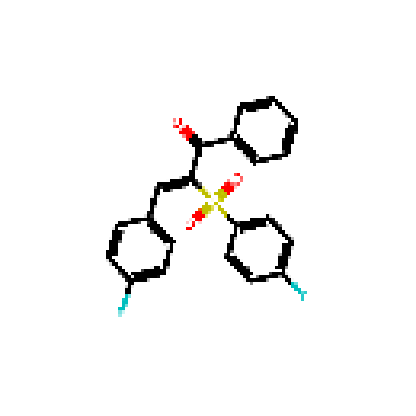 O=C(C(=Cc1ccc(F)cc1)S(=O)(=O)c1ccc(F)cc1)c1ccccc1